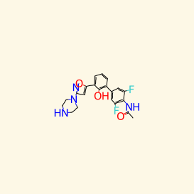 CC(=O)Nc1c(F)cc(-c2cccc(-c3cc(N4CCNCC4)no3)c2O)cc1F